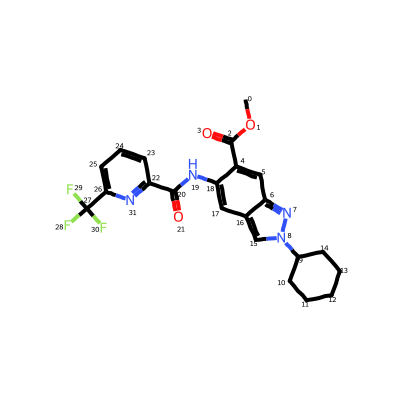 COC(=O)c1cc2nn(C3CCCCC3)cc2cc1NC(=O)c1cccc(C(F)(F)F)n1